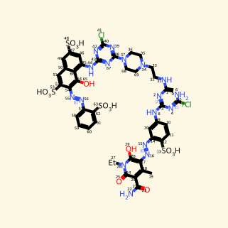 C=C(/N=C(\N=C(/N)Cl)Nc1ccc(S(=O)(=O)O)c(/N=N/c2c(C)c(C(N)=O)c(=O)n(CC)c2O)c1)NCCN1CCN(c2nc(Cl)nc(Nc3cc(S(=O)(=O)O)cc4cc(S(=O)(=O)O)c(/N=N/c5ccccc5S(=O)(=O)O)c(O)c34)n2)CC1